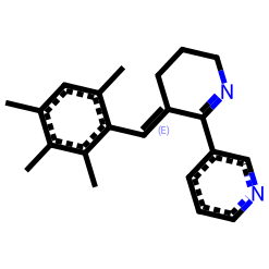 Cc1cc(C)c(/C=C2\CCCN=C2c2cccnc2)c(C)c1C